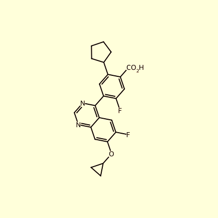 O=C(O)c1cc(F)c(-c2ncnc3cc(OC4CC4)c(F)cc23)cc1C1CCCC1